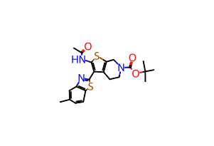 CC(=O)Nc1sc2c(c1-c1nc3cc(C)ccc3s1)CCN(C(=O)OC(C)(C)C)C2